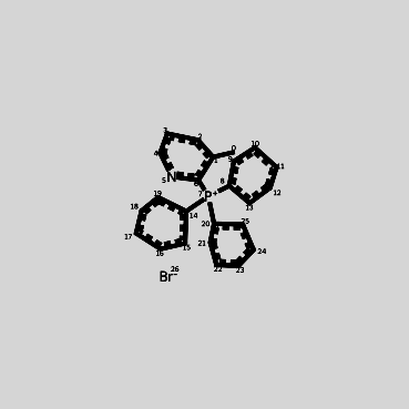 Cc1cccnc1[P+](c1ccccc1)(c1ccccc1)c1ccccc1.[Br-]